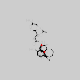 CC(=O)O[C@@H](C(=O)O[C@@H](C)C(=O)O)[C@@H](C)C(=O)OC1=CC[C@@]2(O)[C@H]3Cc4ccc(O)c5c4[C@@]2(CCCN3C)[C@H]1O5